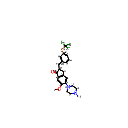 COc1cc2c(cc1N1CCN(C)CC1)CC(Cc1cccc(SC(F)(F)F)c1)C2=O